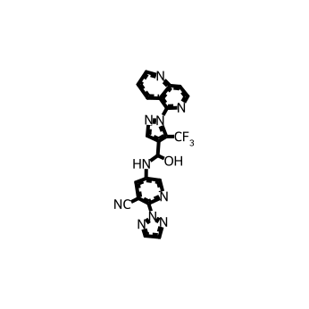 N#Cc1cc(NC(O)c2cnn(-c3nccc4ncccc34)c2C(F)(F)F)cnc1-n1nccn1